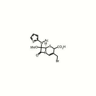 COC1(N(C(C)=O)c2cccs2)C(=O)N2C=C(CBr)C(C(=O)O)S[C@@H]21